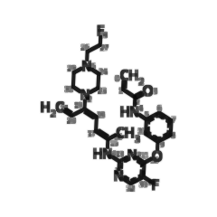 C=CC(=O)Nc1cccc(Oc2nc(N/C(C)=C/C=C(\C=C)N3CCN(CCF)CC3)ncc2F)c1